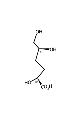 O=C(O)[C@@H](O)CC[C@H](O)CO